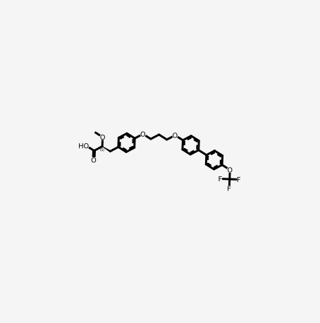 CO[C@@H](Cc1ccc(OCCCOc2ccc(-c3ccc(OC(F)(F)F)cc3)cc2)cc1)C(=O)O